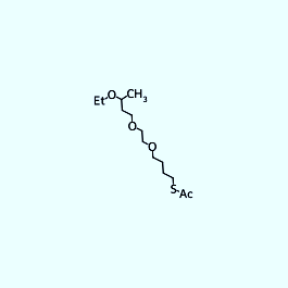 CCOC(C)CCOCCOCCCCSC(C)=O